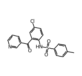 Cc1ccc(S(=O)(=O)Nc2ccc(Cl)cc2C(=O)c2cccnc2)cc1